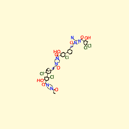 C=CC(=O)N1CCN(C(=O)c2cc(Cl)c(-c3cc(/C=C/C(=O)N4CCN(C(=O)c5cc(Cl)c(-c6cccc(/C=C/C(=O)N7CCN(C(=O)c8cc(Cl)c(Cl)cc8O)CC7C#N)c6)cc5O)CC4)ccc3Cl)cc2O)CC1